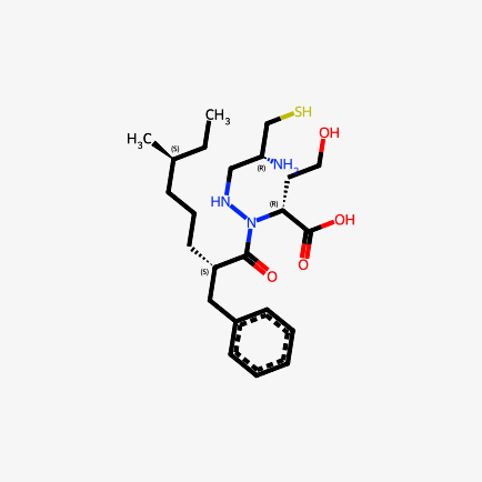 CC[C@H](C)CCC[C@@H](Cc1ccccc1)C(=O)N(NC[C@@H](N)CS)[C@H](CCO)C(=O)O